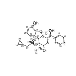 O=N[C@@]12CC/C(=C(/O)c3ccncc3)[C@@H]3Oc4c(O)ccc5c4[C@@]31CCN(CC1CC1)[C@@H]2C5